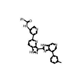 Cc1cccc(-c2cncc3[nH]c(-c4n[nH]c5ccc(-c6cncc(NC(=O)C(C)C)c6)nc45)nc23)c1